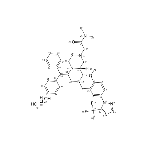 COc1ccc(-n2nnnc2C(F)(F)F)cc1CN1C[C@H]2CN(CC(=O)N(C)C)CCN2[C@H](C(c2ccccc2)c2ccccc2)C1.Cl.Cl.Cl